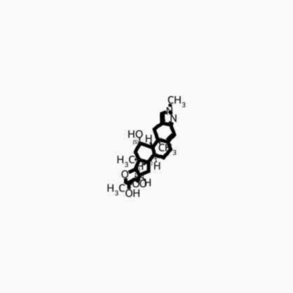 CC1O[C@@H]2C[C@H]3[C@@H]4CCC5=Cc6nn(C)cc6C[C@]5(C)[C@H]4[C@@H](O)C[C@]3(C)[C@]2(C(=O)CO)O1